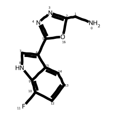 NCc1nnc(-c2c[nH]c3c(F)cccc23)o1